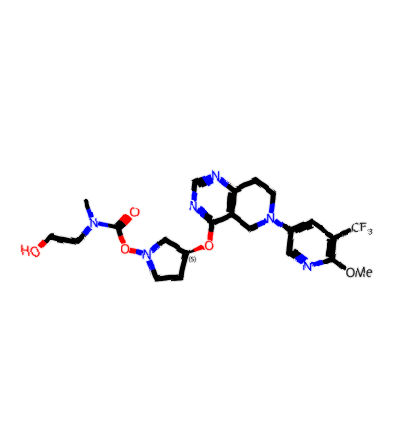 COc1ncc(N2CCc3ncnc(O[C@H]4CCN(OC(=O)N(C)CCO)C4)c3C2)cc1C(F)(F)F